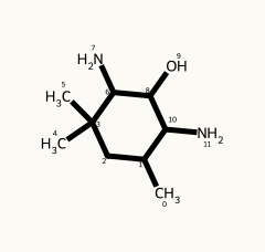 CC1CC(C)(C)C(N)C(O)C1N